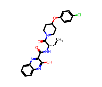 CC[C@H](NC(=O)c1nc2ccccc2nc1O)C(=O)N1CCC(Oc2ccc(Cl)cc2)CC1